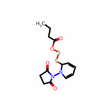 CCCC(=O)OSSC1C=CC=CN1N1C(=O)CCC1=O